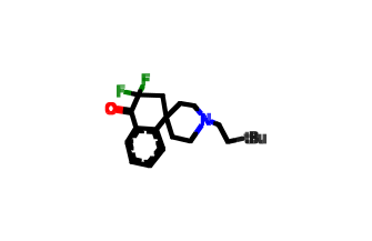 CC(C)(C)CCN1CCC2(CC1)CC(F)(F)C(=O)c1ccccc12